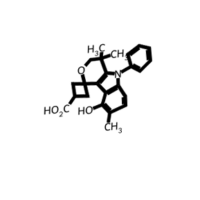 Cc1ccc2c(c1O)c1c(n2-c2ccccc2)C(C)(C)COC12CC(C(=O)O)C2